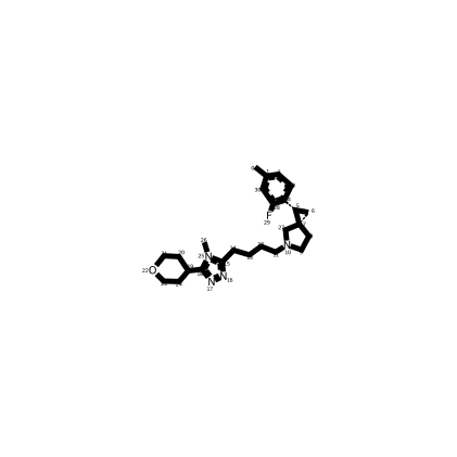 Cc1ccc([C@@H]2C[C@@]23CCN(CCCCc2nnc(C4CCOCC4)n2C)C3)c(F)c1